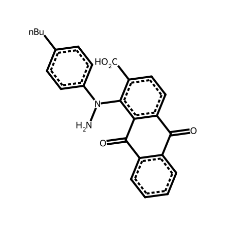 CCCCc1ccc(N(N)c2c(C(=O)O)ccc3c2C(=O)c2ccccc2C3=O)cc1